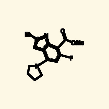 CCn1cc2c(N3CCCC3)cc(F)c(C(=O)OC)c2n1